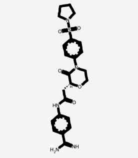 N=C(N)c1ccc(NC(=O)C[C@H]2OCCN(c3ccc(S(=O)(=O)N4CCCC4)cc3)C2=O)cc1